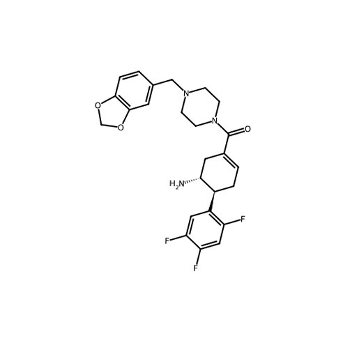 N[C@@H]1CC(C(=O)N2CCN(Cc3ccc4c(c3)OCO4)CC2)=CC[C@H]1c1cc(F)c(F)cc1F